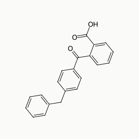 O=C(O)c1ccccc1C(=O)c1ccc(Cc2ccccc2)cc1